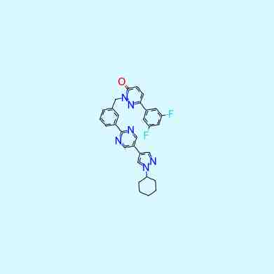 O=c1ccc(-c2cc(F)cc(F)c2)nn1Cc1cccc(-c2ncc(-c3cnn(C4CCCCC4)c3)cn2)c1